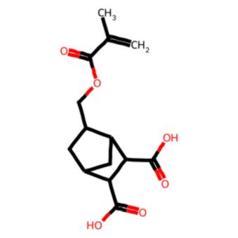 C=C(C)C(=O)OCC1CC2CC1C(C(=O)O)C2C(=O)O